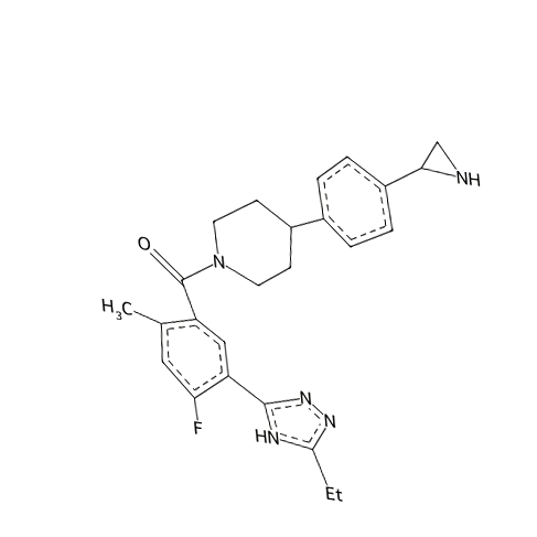 CCc1nnc(-c2cc(C(=O)N3CCC(c4ccc(C5CN5)cc4)CC3)c(C)cc2F)[nH]1